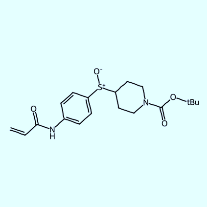 C=CC(=O)Nc1ccc([S+]([O-])C2CCN(C(=O)OC(C)(C)C)CC2)cc1